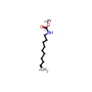 C=CCCCCCCCCNC(=O)OC(C)C